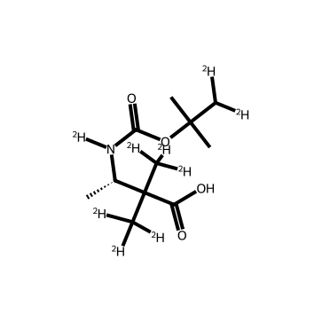 [2H]C([2H])C(C)(C)OC(=O)N([2H])[C@@H](C)C(C(=O)O)(C([2H])([2H])[2H])C([2H])([2H])[2H]